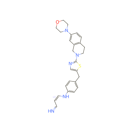 N=C/C=C\Nc1ccc(Cc2cnc(N3CCc4ccc(N5CCOCC5)cc4C3)s2)cc1